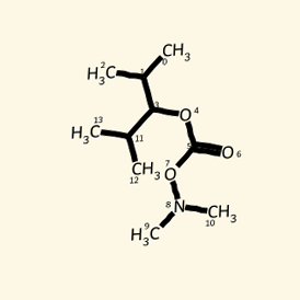 CC(C)C(OC(=O)ON(C)C)C(C)C